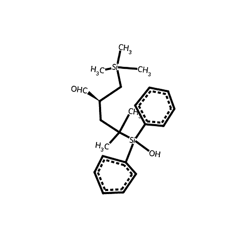 CC(C)(C[C@@H](C=O)C[Si](C)(C)C)[Si](O)(c1ccccc1)c1ccccc1